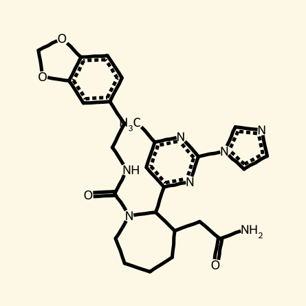 Cc1cc(C2C(CC(N)=O)CCCCN2C(=O)NCCc2ccc3c(c2)OCO3)nc(-n2ccnc2)n1